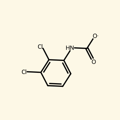 [O]C(=O)Nc1cccc(Cl)c1Cl